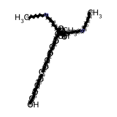 CCCCCCCC/C=C\CCCCCCCC(=O)C(OCCOCCOCCOCCOCCOCCOCCOCCOCCOCCOCCO)C(O)(OC)C(=O)CCCCCCC/C=C\CCCCCCCC